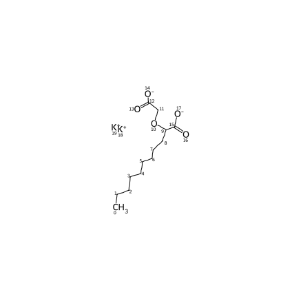 CCCCCCCCCC(OCC(=O)[O-])C(=O)[O-].[K+].[K+]